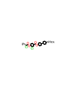 CCCCCCc1ccc(-c2ccc(OC(=O)c3ccc(OC(=O)C(Cl)C(C)C)c(Cl)c3)cc2)cc1